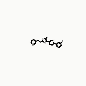 Cc1[nH]c(CCc2cccnc2)nc1-c1ccc(-c2cccc(F)c2)nc1